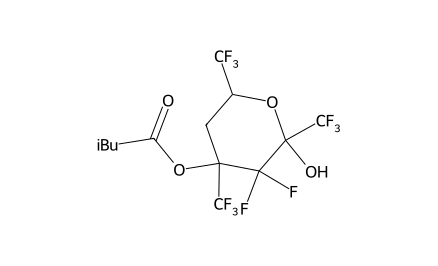 CCC(C)C(=O)OC1(C(F)(F)F)CC(C(F)(F)F)OC(O)(C(F)(F)F)C1(F)F